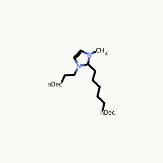 CCCCCCCCCCCCCCCC1N(C)C=CN1CCCCCCCCCCCC